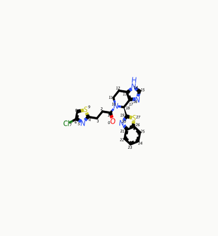 O=C(CCc1nc(Cl)cs1)N1CCc2[nH]cnc2[C@H]1c1nc2ccccc2s1